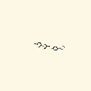 O=C(Nc1ccc(C2CNCCO2)c(F)c1)c1cnn(-c2ccc(C(F)(F)F)nc2)c1